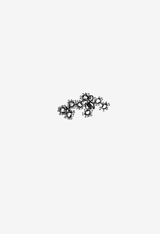 c1ccc(-c2cccc(-c3nc(-c4ccccc4)nc4c3oc3cccc(-c5cccc(-c6cccc(-n7c8ccccc8c8ccccc87)c6)c5)c34)c2)cc1